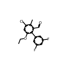 CCOc1cc(Cl)c(C)c(C=O)c1-c1cc(F)cc(F)c1